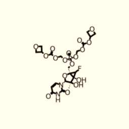 C[C@]1(O)[C@H](n2ccc(=O)[nH]c2=O)O[C@@]2(COP(=O)(OCOC(=O)OC3COC3)OCOC(=O)OC3COC3)C(F)[C@@]21O